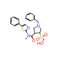 CN(C(=O)C1CN(Cc2ccccc2)CC1S(=O)(=O)CO)c1ncc(-c2ccccc2)s1